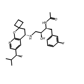 CC(=O)N[C@@H](Cc1cccc(F)c1)[C@@H](O)CN[C@H]1CC2(CCC2)Oc2ncc([C@@H](F)C(C)C)cc21